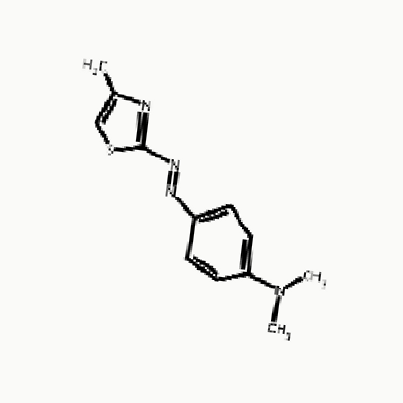 Cc1csc(N=Nc2ccc(N(C)C)cc2)n1